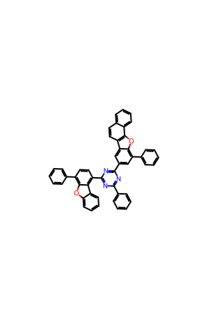 c1ccc(-c2nc(-c3cc(-c4ccccc4)c4oc5c6ccccc6ccc5c4c3)nc(-c3ccc(-c4ccccc4)c4oc5ccccc5c34)n2)cc1